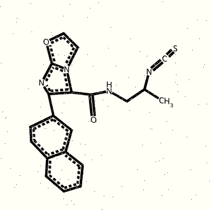 CC(CNC(=O)c1c(-c2ccc3ccccc3c2)nc2occn12)N=C=S